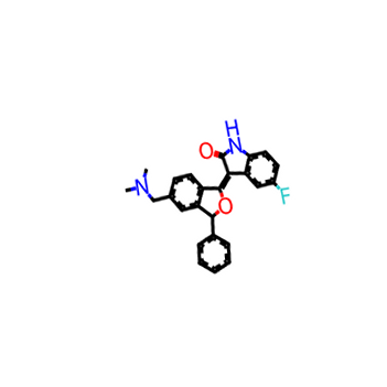 CN(C)Cc1ccc2c(c1)C(c1ccccc1)OC2=C1C(=O)Nc2ccc(F)cc21